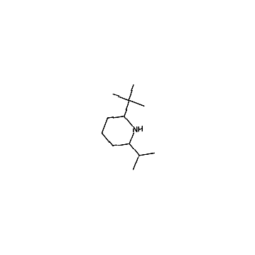 CC(C)C1CCCC(C(C)(C)C)N1